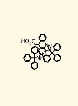 O=C(O)CC(c1ccccc1)c1cc(NC(c2ccccc2)(c2ccccc2)c2ccccc2)nc2c1nnn2C(c1ccccc1)(c1ccccc1)c1ccccc1